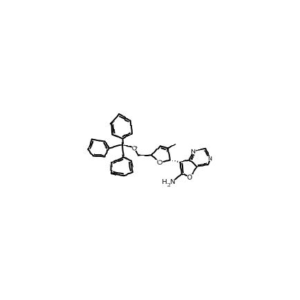 CC1=CC(COC(c2ccccc2)(c2ccccc2)c2ccccc2)O[C@H]1c1c(N)oc2cncnc12